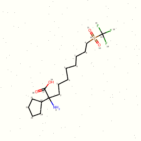 NC(CCCCCCCCS(=O)(=O)C(F)(F)F)(C(=O)O)C1CCCC1